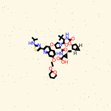 C=C[C@@H]1C[C@@]1(NC(=O)[C@@H]1C[C@H](Oc2cc(-c3csc(NC(C)C)n3)nc3cc(OCCOC4CCCCO4)ccc23)CN1C(=O)[C@@H](NC(=O)O[C@@H]1C[C@@H]2C[C@@H]2C1)C(C)(C)C)C(=O)O